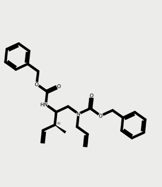 C=CCN(CC(NC(=O)OCc1ccccc1)[C@@H](C)C=C)C(=O)OCc1ccccc1